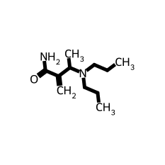 C=C(C(N)=O)C(C)N(CCC)CCC